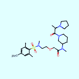 COc1cc(C)c(S(=O)(=O)N(C)CCOCC(=O)N(C)C2CCCN(C(=O)C(C)N3CCCC3)C2)c(C)c1